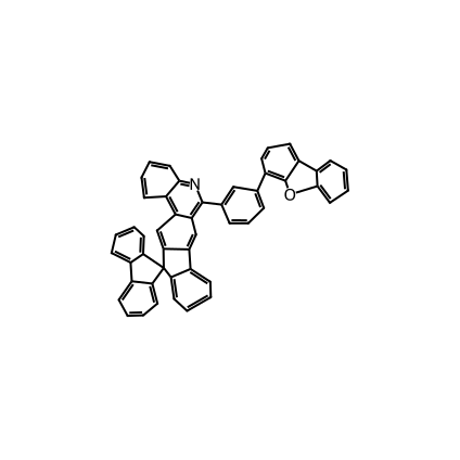 c1cc(-c2nc3ccccc3c3cc4c(cc23)-c2ccccc2C42c3ccccc3-c3ccccc32)cc(-c2cccc3c2oc2ccccc23)c1